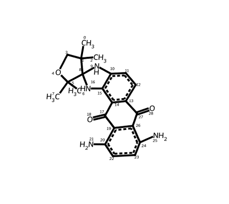 CC1(C)COC(C)(C)C12Nc1ccc3c(c1N2)C(=O)c1c(N)ccc(N)c1C3=O